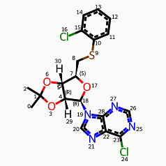 CC1(C)O[C@@H]2[C@H](O1)[C@@H](CSc1ccccc1Cl)O[C@H]2n1cnc2c(Cl)ncnc21